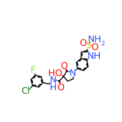 NS(=O)(=O)c1cc2cc(N3CCC(O)(C(=O)NCc4cc(F)cc(Cl)c4)C3=O)ccc2[nH]1